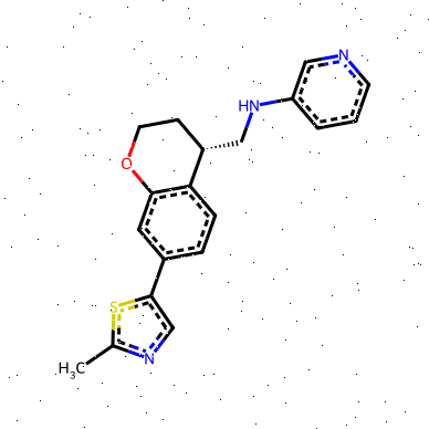 Cc1ncc(-c2ccc3c(c2)OCC[C@@H]3CNc2cccnc2)s1